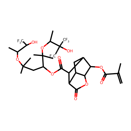 C=C(C)C(=O)OC1C2CC3C1OC(=O)C3C2C(=O)OC(CC(C)(C)OC(C)C(C)(O)C(F)(F)F)C(C)(C)OC(C)C(O)(C(F)(F)F)C(F)(F)F